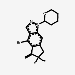 C=C1c2c(cc3c(cnn3C3CCCCO3)c2Br)CC1(F)F